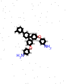 Cc1cccc(C2CCC(c3ccc(Oc4ccc(N)cc4)cc3)(c3ccc(Oc4ccc(N)cc4)cc3)CC2)c1